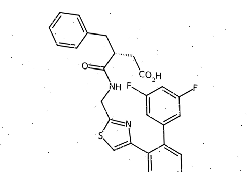 O=C(O)C[C@@H](Cc1ccccc1)C(=O)NCc1nc(-c2ccccc2-c2cc(F)cc(F)c2)cs1